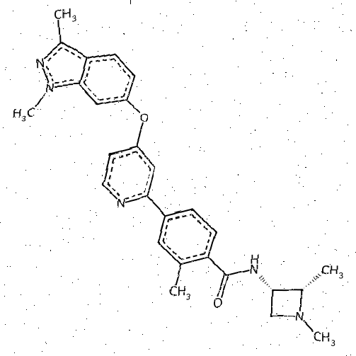 Cc1cc(-c2cc(Oc3ccc4c(C)nn(C)c4c3)ccn2)ccc1C(=O)N[C@H]1CN(C)[C@H]1C